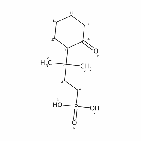 CC(C)(CCP(=O)(O)O)C1CCCCC1=O